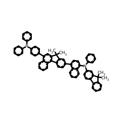 CC1(C)c2ccccc2-c2ccc(N(c3ccccc3)c3ccc(-c4ccc5c(c4)C(C)(C)c4cc(-c6ccc(N(c7ccccc7)c7ccccc7)cc6)c6ccccc6c4-5)c4ccccc34)cc21